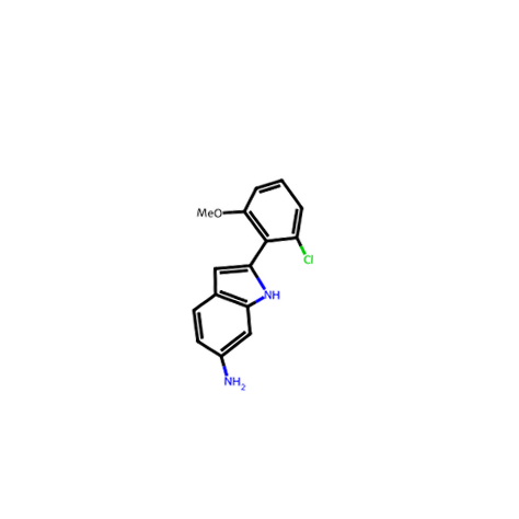 COc1cccc(Cl)c1-c1cc2ccc(N)cc2[nH]1